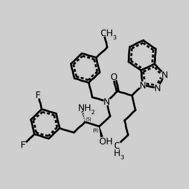 CCCCC(C(=O)N(Cc1cccc(CC)c1)C[C@@H](O)[C@@H](N)Cc1cc(F)cc(F)c1)n1nnc2ccccc21